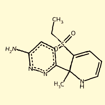 CCS(=O)(=O)C1=CC=CNC1(C)c1ccc(N)nn1